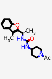 CC(=O)N1CCC(NC(=O)N[C@@H](C)c2oc3ccccc3c2C)CC1